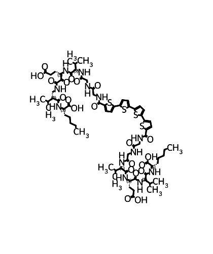 CCCCC[C@H](NC(=O)[C@@H](CNC(=O)C(=O)[C@H](CCC(=O)O)NC(=O)[C@@H](NC(=O)CNC(=O)CNC(=O)c1ccc(-c2ccc(-c3ccc(-c4ccc(C(=O)NCC(=O)NCC(=O)N[C@H](C(=O)N[C@@H](CCC(=O)O)C(=O)N[C@H](C(=O)N[C@@H](CCCCC)C(=O)O)C(C)C)C(C)C)s4)s3)s2)s1)C(C)C)C(C)C)C(=O)O